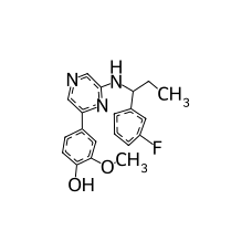 CCC(Nc1cncc(-c2ccc(O)c(OC)c2)n1)c1cccc(F)c1